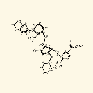 COC(=O)c1ccc(OC)c(COc2cc(OCc3cccc(-c4ccc5c(c4)OCCO5)c3C)c(Cl)cc2CN2CCCC[C@H]2C(=O)O)c1